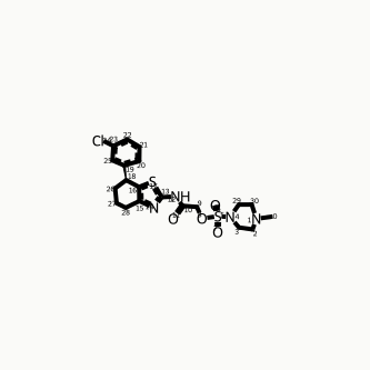 CN1CCN(S(=O)(=O)OCC(=O)Nc2nc3c(s2)[C@H](c2cccc(Cl)c2)CCC3)CC1